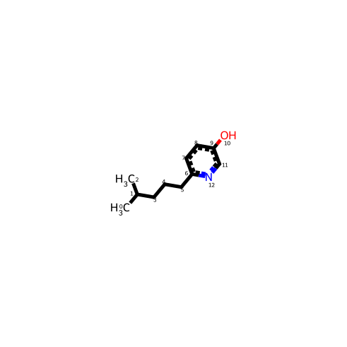 CC(C)CCCc1ccc(O)cn1